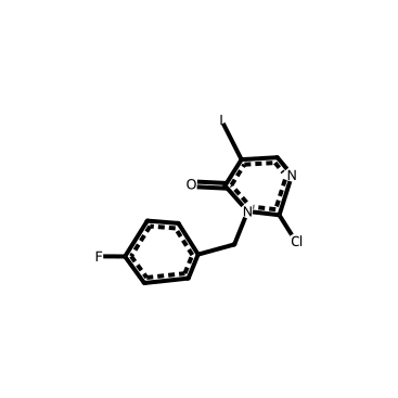 O=c1c(I)cnc(Cl)n1Cc1ccc(F)cc1